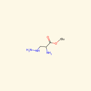 CC(C)(C)OC(=O)C(N)CNN